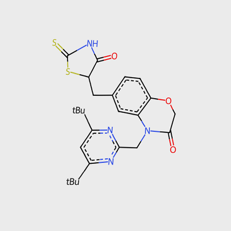 CC(C)(C)c1cc(C(C)(C)C)nc(CN2C(=O)COc3ccc(CC4SC(=S)NC4=O)cc32)n1